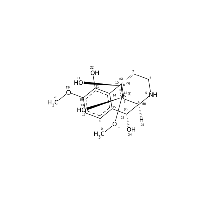 COC1=C2[C@H]3NCC[C@]2(C[C@H](O)[C@@H]1O)c1c(ccc(OC)c1O)[C@H]3O